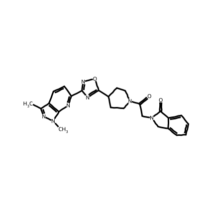 Cc1nn(C)c2nc(-c3noc(C4CCN(C(=O)CN5Cc6ccccc6C5=O)CC4)n3)ccc12